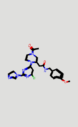 COc1ccc(CNC(=O)CC2CN(C(C)=O)CCN2c2cc(Cl)nc(-n3ccnc3)n2)cc1